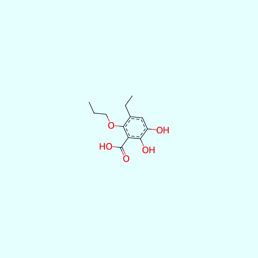 CCCOc1c(CC)cc(O)c(O)c1C(=O)O